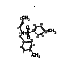 C=C=CN(Cc1ccc(C)cc1)S(=O)(=O)c1ccc(C)cc1